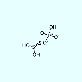 OS(O)=S.[O-][I+3]([O-])([O-])O